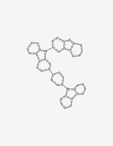 c1ccc2c(c1)sc1ccc(-n3c4ccccc4c4ccc(-c5ccc(-n6c7ccccc7c7ccccc76)cc5)cc43)cc12